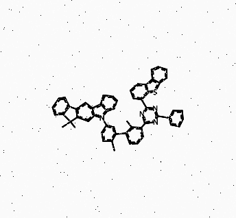 Cc1ccc(-n2c3ccccc3c3cc4c(cc32)C(C)(C)c2ccccc2-4)cc1-c1cccc(-c2nc(-c3ccccc3)nc(-c3cccc4c3sc3ccccc34)n2)c1C